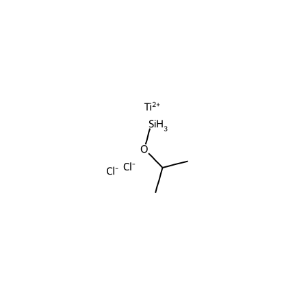 CC(C)O[SiH3].[Cl-].[Cl-].[Ti+2]